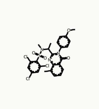 COc1ccc(-n2c(C(C)N(C)S(=O)(=O)c3c(Cl)cc(Cl)cc3Cl)nc3c(C)cccc3c2=O)cc1